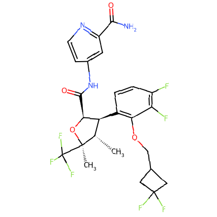 C[C@H]1[C@H](c2ccc(F)c(F)c2OCC2CC(F)(F)C2)[C@H](C(=O)Nc2ccnc(C(N)=O)c2)O[C@]1(C)C(F)(F)F